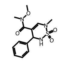 CON(C)C(=O)C1=CN(C)S(=O)(=O)NC1c1ccccc1